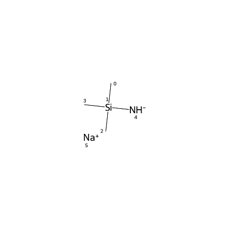 C[Si](C)(C)[NH-].[Na+]